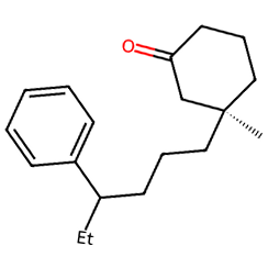 CCC(CCC[C@]1(C)CCCC(=O)C1)c1ccccc1